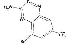 Nc1nnc2cc(C(F)(F)F)cc(Br)c2n1